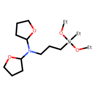 CCO[Si](CC)(CCCN(C1CCCO1)C1CCCO1)OCC